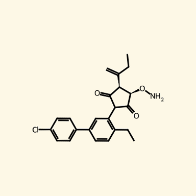 C=C(CC)[C@@H]1C(=O)C(c2cc(-c3ccc(Cl)cc3)ccc2CC)C(=O)[C@@H]1ON